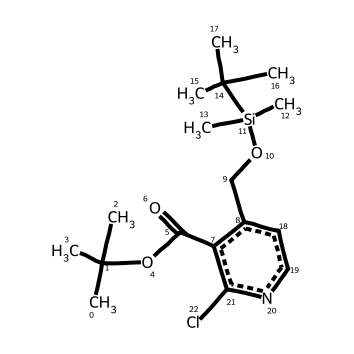 CC(C)(C)OC(=O)c1c(CO[Si](C)(C)C(C)(C)C)ccnc1Cl